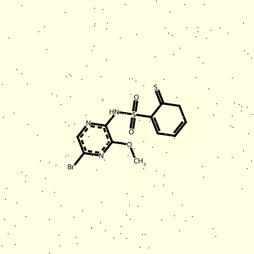 COc1nc(Br)cnc1NS(=O)(=O)C1=CC=CCC1=S